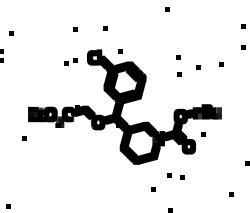 CCCCOC(=O)N1CCCC(C(OCC(=O)OCC)c2cccc(Cl)c2)C1